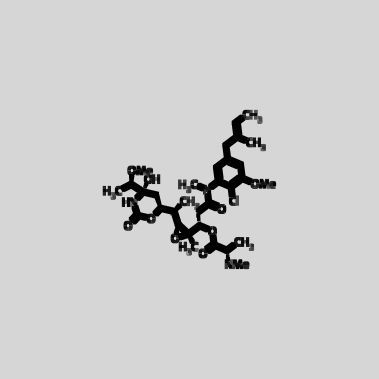 C/C=C(\C)Cc1cc(OC)c(Cl)c(N(C)C(=O)C[C@H](OC(=O)[C@H](C)NC)[C@]2(C)O[C@H]2[C@H](C)[C@@H]2C[C@](O)([C@@H](C)OC)NC(=O)O2)c1